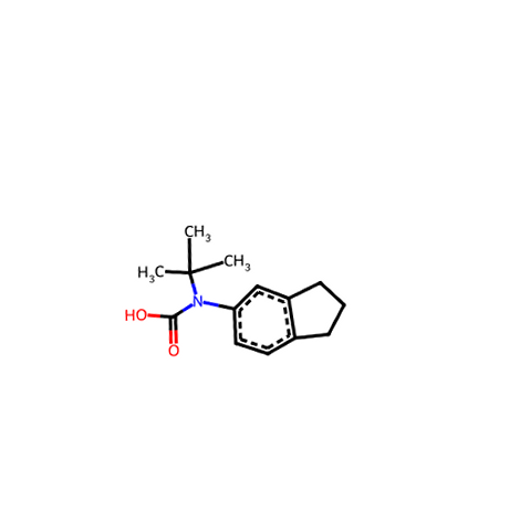 CC(C)(C)N(C(=O)O)c1ccc2c(c1)CCC2